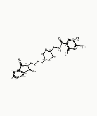 Nc1[nH]c(=O)c(C(=O)NCC2CCN(CCCCN3C(=O)c4ccccc4C3=O)CC2)cc1Cl